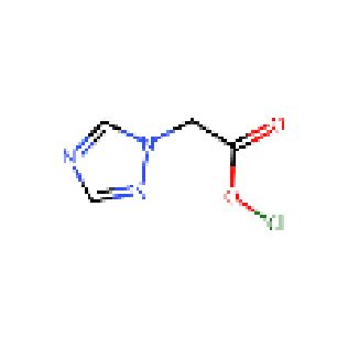 O=C(Cn1cncn1)OCl